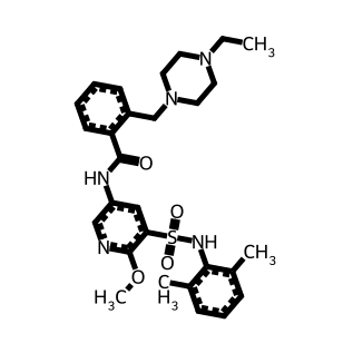 CCN1CCN(Cc2ccccc2C(=O)Nc2cnc(OC)c(S(=O)(=O)Nc3c(C)cccc3C)c2)CC1